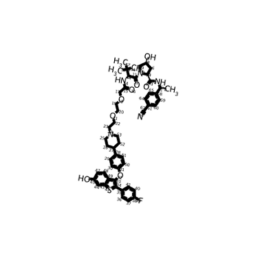 C[C@H](NC(=O)[C@@H]1C[C@@H](O)CN1C(=O)[C@@H](NC(=O)COCCOCCN1CCC(c2ccc(Oc3c(-c4ccc(F)cc4)sc4cc(O)ccc34)cc2)CC1)C(C)(C)C)c1ccc(C#N)cc1